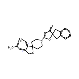 C=C(C)/C=C1/COC2(CCN(C3=NC(=O)C4(Cc5ccccc5C4)O3)CC2)/C1=C/CC